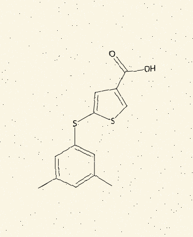 Cc1cc(C)cc(Sc2cc(C(=O)O)cs2)c1